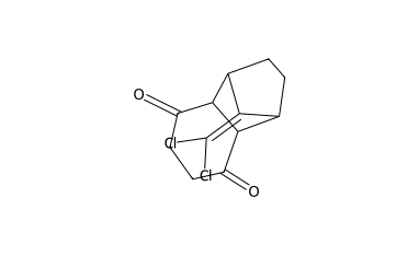 O=C1CCC(=O)C2C3CCC(C3=C(Cl)Cl)C12